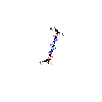 CCCCC(CC)COC(=O)CCNCCNCCNCCNCCC(=O)OCC(CC)CCCC